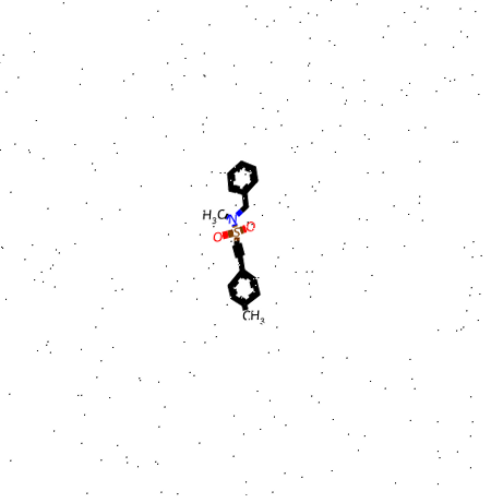 Cc1ccc(C#CS(=O)(=O)N(C)Cc2ccccc2)cc1